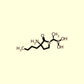 CCCC[C@@]1(N)CCN([C@@H](C)B(O)O)C1=O